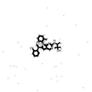 CCOC(=O)/C=C(/c1ccccc1Cl)c1cc2cnc(NC(C)C(C)(C)O)nc2n1-c1c(F)cccc1F